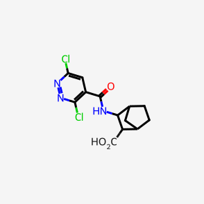 O=C(NC1C2CCC(C2)C1C(=O)O)c1cc(Cl)nnc1Cl